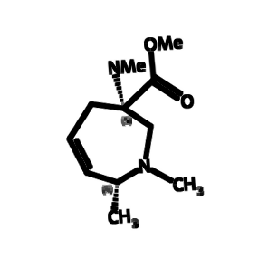 CN[C@@]1(C(=O)OC)CC=C[C@@H](C)N(C)C1